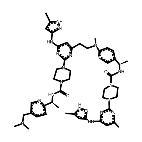 Cc1cc(Nc2cc(C)[nH]n2)nc(N2CCN(C(=O)N[C@H](C)c3ccc(N(C)CCc4cc(Nc5cc(C)[nH]n5)nc(N5CCN(C(=O)N[C@@H](C)c6ccc(CN(C)C)cn6)CC5)n4)nc3)CC2)n1